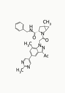 CC(=O)c1nn(CC(=O)N2C3C[C@]3(C)C[C@H]2C(=O)NCc2ccccc2)c2c(C)cc(-c3cnc(C)nc3)cc12